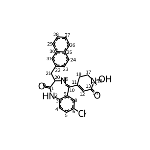 O=C1Nc2ccc(Cl)cc2C(C2=CC(=O)N(O)CC2)=NC1Cc1ccc2ccccc2c1